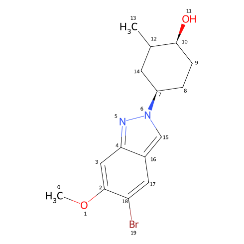 COc1cc2nn([C@@H]3CC[C@H](O)C(C)C3)cc2cc1Br